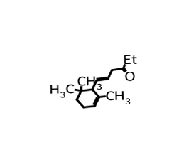 CCC(=O)CC=CC1C(C)=CCCC1(C)C